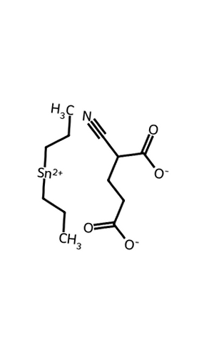 CC[CH2][Sn+2][CH2]CC.N#CC(CCC(=O)[O-])C(=O)[O-]